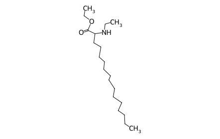 CCCCCCCCCCCCCCC(NCC)C(=O)OCC